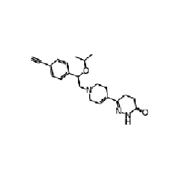 C#Cc1ccc(C(CN2CC=C(C3=NNC(=O)CC3)CC2)OC(C)C)cc1